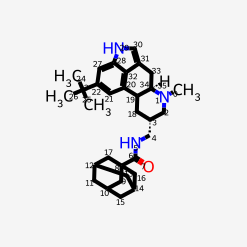 CN1C[C@H](CNC(=O)C23CC4CC(CC(C4)C2)C3)CC2c3cc(C(C)(C)C)cc4[nH]cc(c34)C[C@H]21